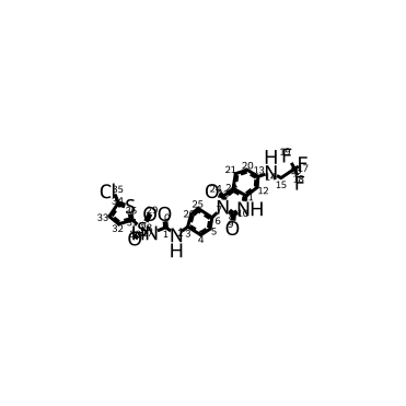 O=C(Nc1ccc(-n2c(=O)[nH]c3cc(NCC(F)(F)F)ccc3c2=O)cc1)NS(=O)(=O)c1ccc(Cl)s1